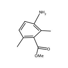 COC(=O)c1c(C)ccc(N)c1C